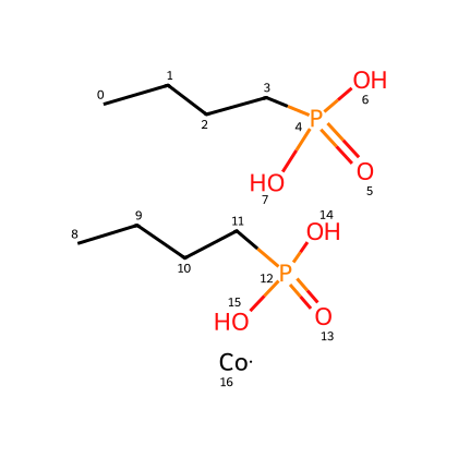 CCCCP(=O)(O)O.CCCCP(=O)(O)O.[Co]